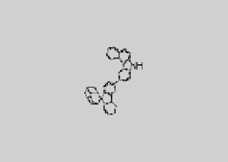 C1=CC2=C(CC1)c1cc(-c3ccc4[nH]c5ccc6ccccc6c5c4c3)ccc1C21C2CC3CC(C2)CC1C3